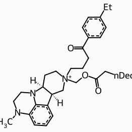 CCCCCCCCCCCC(=O)OC[N+]1(CCCC(=O)c2ccc(CC)cc2)CC[C@H]2[C@@H](C1)c1cccc3c1N2CCN3C